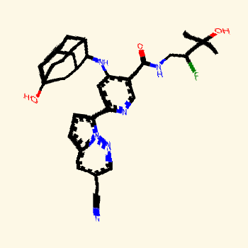 CC(C)(O)C(F)CNC(=O)c1cnc(-c2ccc3cc(C#N)cnn23)cc1NC1C2CC3CC1CC(O)(C3)C2